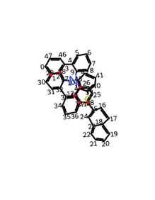 c1ccc(-c2ccccc2N(c2ccc(-c3ccc4ccccc4c3)cc2)c2ccccc2-c2cccc3sc4ccccc4c23)cc1